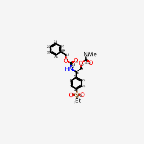 CCS(=O)(=O)c1ccc([C@H](COC(=O)NC)NC(=O)OCc2ccccc2)cc1